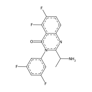 CC(N)c1nc2ccc(F)c(F)c2c(=O)n1-c1cc(F)cc(F)c1